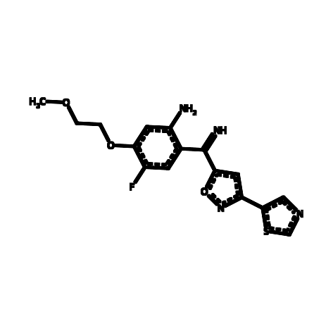 COCCOc1cc(N)c(C(=N)c2cc(-c3cncs3)no2)cc1F